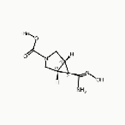 CC(C)(C)OC(=O)N1C[C@@H]2[C@H](C1)[C@H]2C(N)=NO